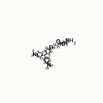 CN(C)c1ccc(C(c2ccc(OCCCC(=O)NCCN)cc2)c2ccc(N(C)C)cc2)cc1